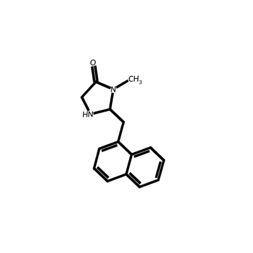 CN1C(=O)CNC1Cc1cccc2ccccc12